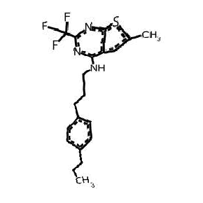 CCCc1ccc(CCCNc2nc(C(F)(F)F)nc3sc(C)cc23)cc1